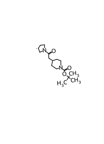 CC(C)(C)OC(=O)N1CCC(CC(=O)N2C[CH]CC2)CC1